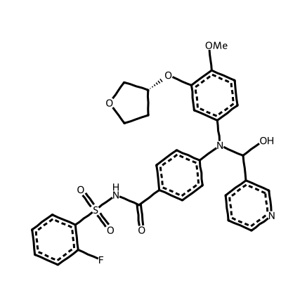 COc1ccc(N(c2ccc(C(=O)NS(=O)(=O)c3ccccc3F)cc2)C(O)c2cccnc2)cc1O[C@@H]1CCOC1